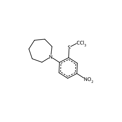 O=[N+]([O-])c1ccc(N2CCCCCC2)c(SC(Cl)(Cl)Cl)c1